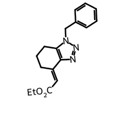 CCOC(=O)C=C1CCCc2c1nnn2Cc1ccccc1